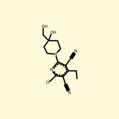 CCc1c(C#N)c(Cl)nc(N2CCC(O)(CO)CC2)c1C#N